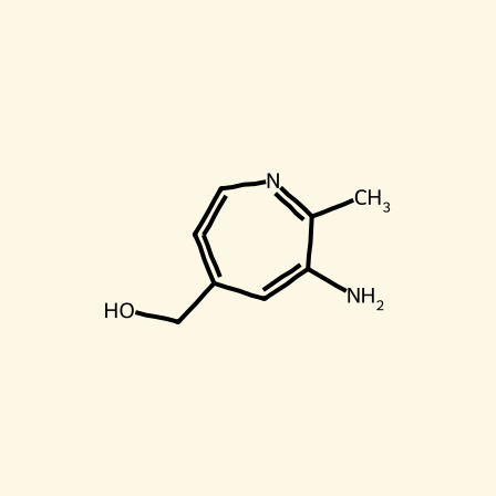 CC1=NC=C=C(CO)C=C1N